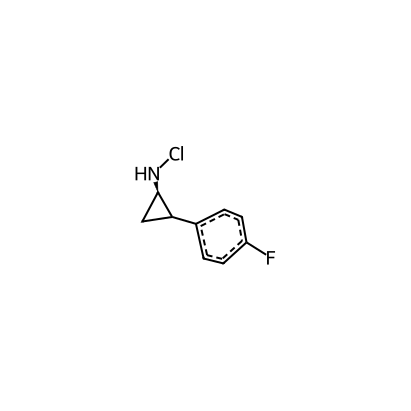 Fc1ccc(C2C[C@H]2NCl)cc1